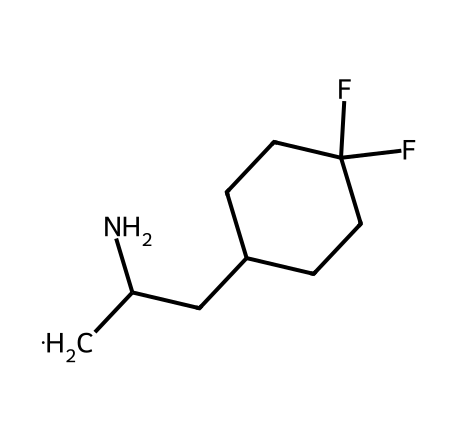 [CH2]C(N)CC1CCC(F)(F)CC1